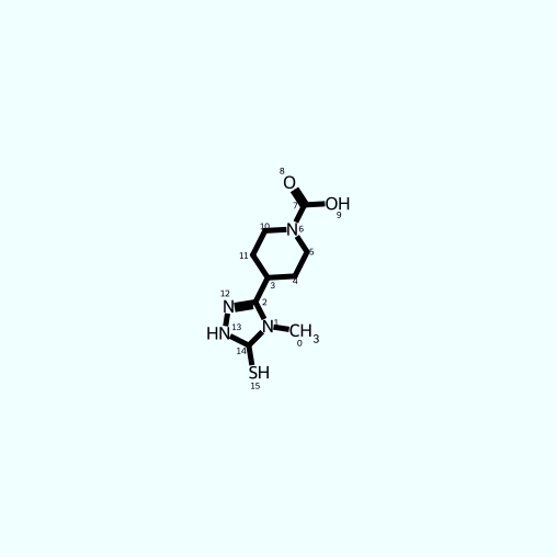 CN1C(C2CCN(C(=O)O)CC2)=NNC1S